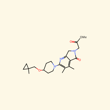 COC(=O)CN1Cc2nc(N3CCC(OCC4(C)CC4)CC3)c(C)c(C)c2C1=O